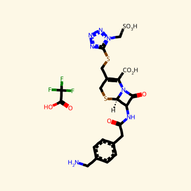 NCc1ccc(CC(=O)NC2C(=O)N3C(C(=O)O)=C(CSc4nnnn4CS(=O)(=O)O)CS[C@H]23)cc1.O=C(O)C(F)(F)F